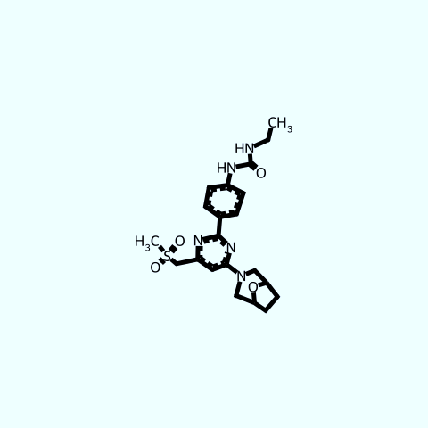 CCNC(=O)Nc1ccc(-c2nc(CS(C)(=O)=O)cc(N3CC4CCC(C3)O4)n2)cc1